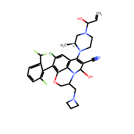 C=CC(O)N1CCN(C2=C(C#N)C(O)N3c4c2cc(Cl)c(-c2c(F)cccc2C(F)F)c4OCC3CN2CCC2)[C@@H](C)C1